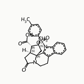 Cc1ccc(S(=O)(=O)n2c3c(c4ccccc42)CCN2C(=O)C[C@H]4[C@H](C(=O)O)[C@@H](C)C[C@]342)cc1